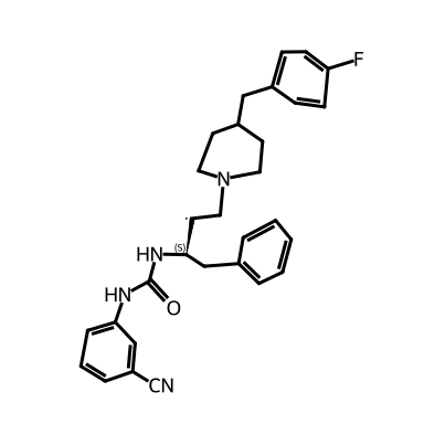 N#Cc1cccc(NC(=O)N[C@@H]([CH]CN2CCC(Cc3ccc(F)cc3)CC2)Cc2ccccc2)c1